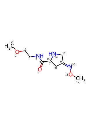 COCCNC(=O)[C@@H]1CC(=NOC)CN1